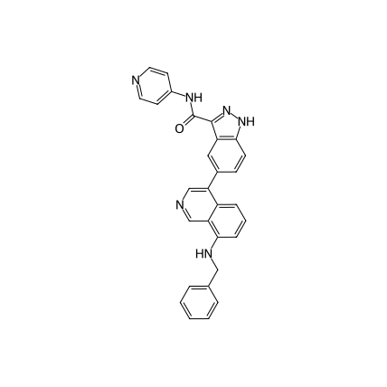 O=C(Nc1ccncc1)c1n[nH]c2ccc(-c3cncc4c(NCc5ccccc5)cccc34)cc12